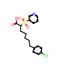 O=C(O)C(CCCCCc1ccc(Cl)cc1)S(=O)(=O)c1cccnc1